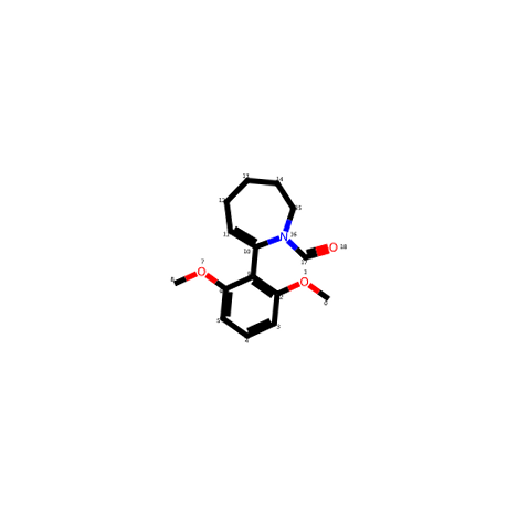 COc1cccc(OC)c1C1=CCCCCN1C=O